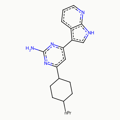 CCCC1CCC(c2cc(-c3c[nH]c4ncccc34)nc(N)n2)CC1